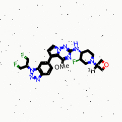 [2H]C1(N2CC[C@H](Nc3nc(OC)c4c(-c5ccc6nnn(C(CF)CF)c6c5)ccn4n3)[C@H](F)C2)COC1